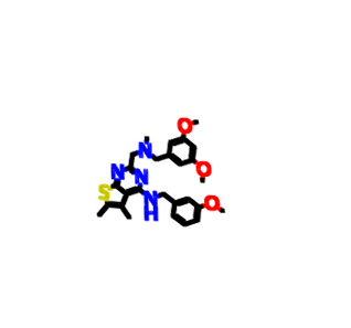 COc1cccc(CNc2nc(CN(C)Cc3cc(OC)cc(OC)c3)nc3sc(C)c(C)c23)c1